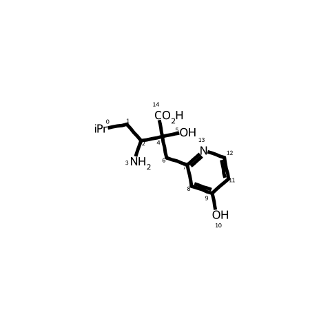 CC(C)CC(N)C(O)(Cc1cc(O)ccn1)C(=O)O